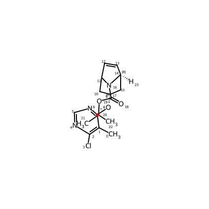 Cc1c(Cl)ncnc1O[C@@H]1CC2C=C[C@@H](C1)N2C(=O)OC(C)C